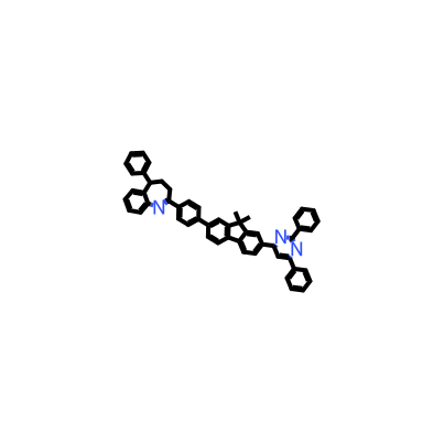 CC1(C)c2cc(-c3ccc(C4=Nc5ccccc5C(c5ccccc5)CC4)cc3)ccc2-c2ccc(-c3cc(-c4ccccc4)nc(-c4ccccc4)n3)cc21